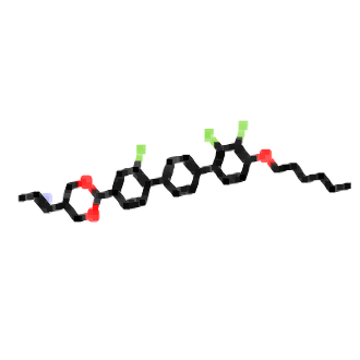 C/C=C/C1COC(c2ccc(-c3ccc(-c4ccc(OCCCCCC)c(F)c4F)cc3)c(F)c2)OC1